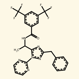 CC(NC(=O)c1cc(C(F)(F)F)cc(C(F)(F)F)c1)c1nc(Cc2ccccc2)nn1-c1ncccn1